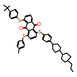 CCCC1CCC(C2CCC(c3ccc(Sc4ccc(Sc5ccc(C)cc5)c5c4C(=O)c4cccc(Sc6ccc(C(C)(C)C)cc6)c4C5=O)cc3)CC2)CC1